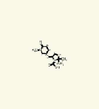 CN1C[C@@H](CC2COC(C)(C)N2C(=O)O)CCC1=O